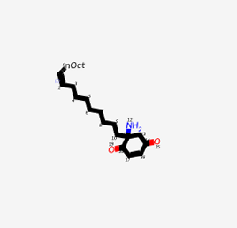 CCCCCCCC/C=C\CCCCCCCCC1(N)CC(=O)C=CC1=O